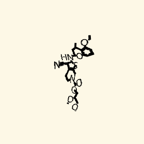 CCOc1ccccc1C(C)CC(=O)NC1SC2=C(CCN(C(=O)OCC(COC)OC)C2)C1C#N